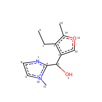 CCc1c(C(O)c2nccn2C)coc1C